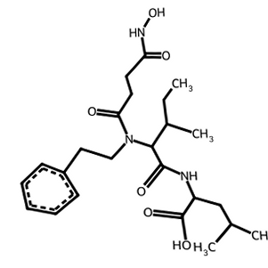 CCC(C)C(C(=O)NC(CC(C)C)C(=O)O)N(CCc1ccccc1)C(=O)CCC(=O)NO